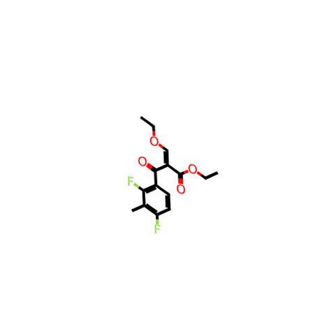 CCO/C=C(/C(=O)OCC)C(=O)c1ccc(F)c(C)c1F